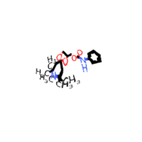 CN1C(C)(C)CC2(CC1(C)C)OCC(COC(=O)Nc1ccccc1)O2